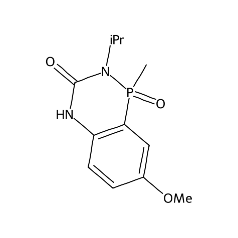 COc1ccc2c(c1)P(C)(=O)N(C(C)C)C(=O)N2